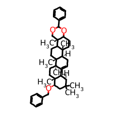 CC1(C)C[C@@H]2C3=CC[C@@H]4[C@@]5(C)CCC6OC(c7ccccc7)OC[C@@]6(C)C5CC[C@@]4(C)[C@]3(C)CC[C@@]2(C)[C@H](OCc2ccccc2)C1